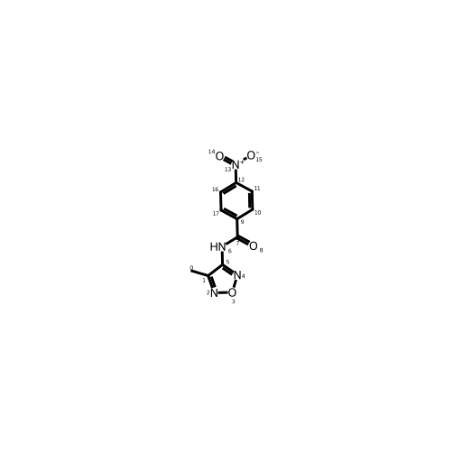 Cc1nonc1NC(=O)c1ccc([N+](=O)[O-])cc1